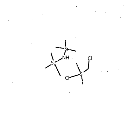 C[Si](C)(C)N[Si](C)(C)C.C[Si](C)(Cl)CCl